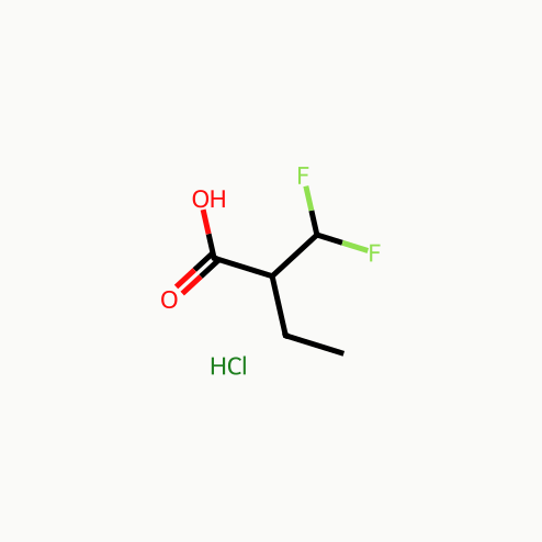 CCC(C(=O)O)C(F)F.Cl